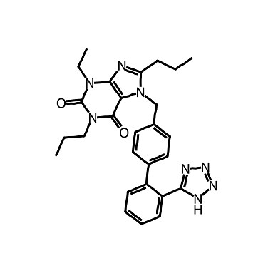 CCCc1nc2c(c(=O)n(CCC)c(=O)n2CC)n1Cc1ccc(-c2ccccc2-c2nnn[nH]2)cc1